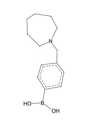 OB(O)c1ccc(CN2CCCCCC2)cc1